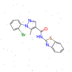 Cc1c(C(=O)Nc2nc3ccccc3s2)cnn1-c1ccccc1Br